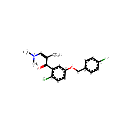 CCOC(=O)/C(=C/N(C)C)C(=O)c1cc(OCc2ccc(F)cc2)ccc1Br